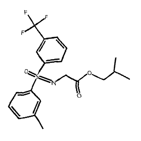 Cc1cccc(S(=O)(=NCC(=O)OCC(C)C)c2cccc(C(F)(F)F)c2)c1